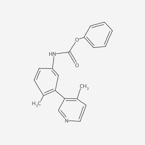 Cc1ccncc1-c1cc(NC(=O)Oc2ccccc2)ccc1C